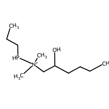 CCCCC(O)C[N+](C)(C)PCCC